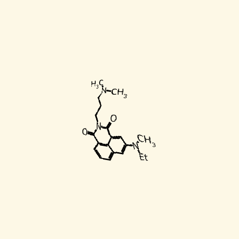 CCN(C)c1cc2c3c(cccc3c1)C(=O)N(CCCN(C)C)C2=O